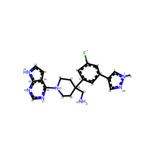 Cn1cc(-c2cc(F)cc(C3(CN)CCN(c4ncnc5[nH]ccc45)CC3)c2)cn1